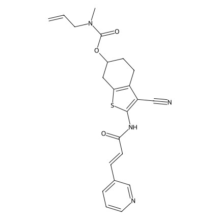 C=CCN(C)C(=O)OC1CCc2c(sc(NC(=O)C=Cc3cccnc3)c2C#N)C1